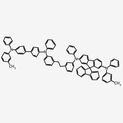 Cc1cccc(N(c2ccccc2)c2ccc(-c3ccc(N(c4ccccc4)c4cccc(CCc5cccc(N(c6ccccc6)c6ccc7c(c6)C6(c8ccccc8-c8ccccc86)c6cc(N(c8ccccc8)c8cccc(C)c8)ccc6-7)c5)c4)cc3)cc2)c1